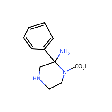 NC1(c2ccccc2)CNCCN1C(=O)O